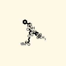 CC(C)(C)OC(=O)CCCOCCC(NC(=O)c1ccn(S(C)(=O)=O)c1)C(=O)Nc1nc(-c2ccccc2)cs1